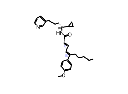 CCCCC/C(=C\C=C\C(=O)N[C@H](CCCc1cccnc1)C1CC1)c1ccc(OC)cc1